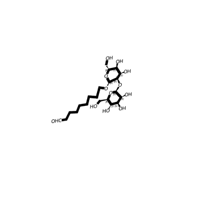 O=CCCCCCCCCO[C@@H]1O[C@H](CO)[C@@H](O)[C@H](O)[C@H]1O[C@@H]1O[C@H](CO)[C@@H](O)[C@H](O)[C@H]1O